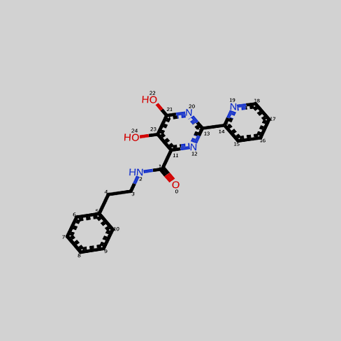 O=C(NCCc1ccccc1)c1nc(-c2ccccn2)nc(O)c1O